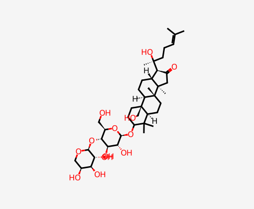 CC(C)=CCC[C@](C)(O)[C@H]1C(=O)C[C@]2(C)[C@@H]1CC[C@@H]1[C@@]3(CO)CCC(O[C@@H]4O[C@H](CO)[C@@H](O[C@@H]5OC[C@H](O)[C@H](O)[C@H]5O)[C@H](O)[C@H]4O)C(C)(C)[C@@H]3CC[C@]12C